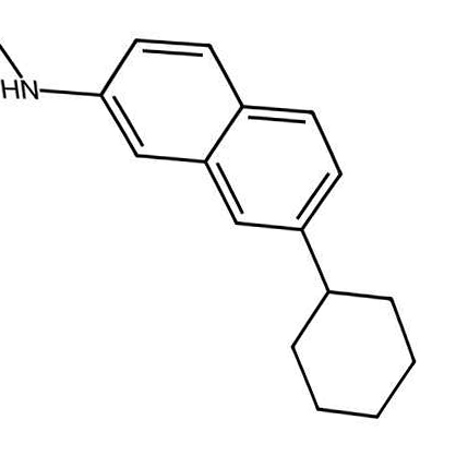 CNc1ccc2ccc(C3CCCCC3)cc2c1